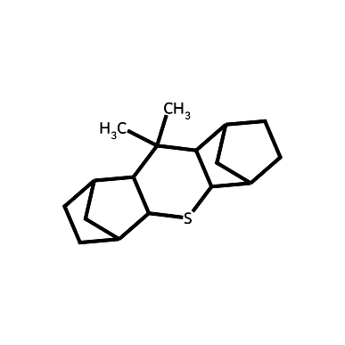 CC1(C)C2C3CCC(C3)C2SC2C3CCC(C3)C21